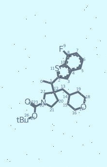 CC(c1cc2cccc(F)c2s1)C1(CC2CCOCC2)CCN(C(=O)OC(C)(C)C)C1